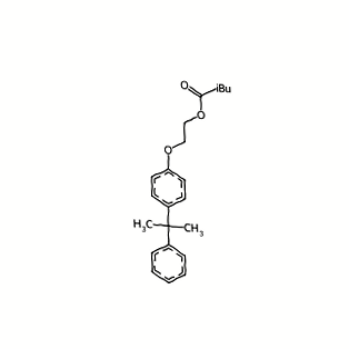 CCC(C)C(=O)OCCOc1ccc(C(C)(C)c2ccccc2)cc1